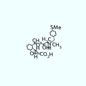 CSc1ccc(CC(C)(C)NC[C@@H](O)CO[C@H](C)c2cccc3c2[C@@H]2[C@H](O3)[C@H]2C(=O)O)cc1